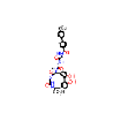 CCCCc1ccc(-c2ccc(C(=O)NCC(=O)NCC(=O)N(C)C3C(=O)NCC(=O)N[C@H](C(=O)O)Cc4ccc(O)c(c4)-c4cc3ccc4O)cc2)cc1